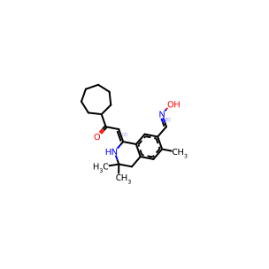 Cc1cc2c(cc1/C=N/O)/C(=C/C(=O)C1CCCCCC1)NC(C)(C)C2